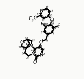 O=c1ncc(OCc2cc(F)c(Oc3ccnc(C(F)(F)F)c3)c(F)c2)c2n1CCC13COC(CN21)C3